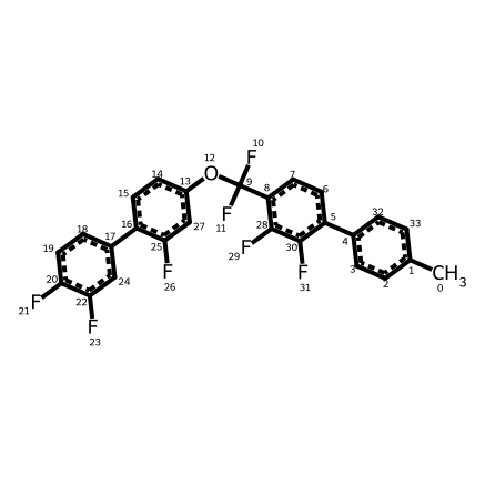 Cc1ccc(-c2ccc(C(F)(F)Oc3ccc(-c4ccc(F)c(F)c4)c(F)c3)c(F)c2F)cc1